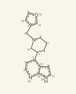 c1cc(C2CCCN(Cc3ccoc3)C2)c2cc[nH]c2n1